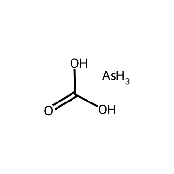 O=C(O)O.[AsH3]